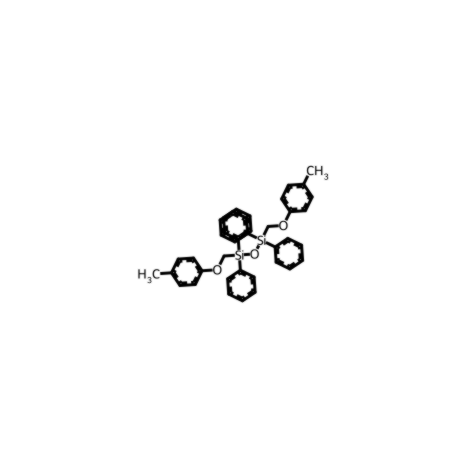 Cc1ccc(OC[Si](O[Si](COc2ccc(C)cc2)(c2ccccc2)c2ccccc2)(c2ccccc2)c2ccccc2)cc1